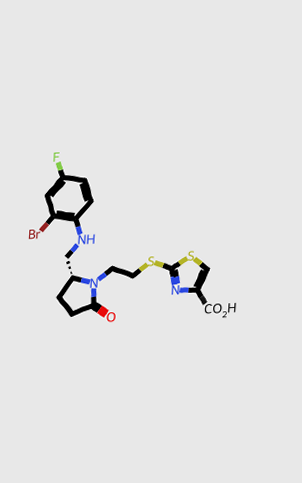 O=C(O)c1csc(SCCN2C(=O)CC[C@@H]2CNc2ccc(F)cc2Br)n1